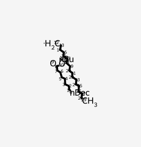 CCCCCCCCCCCCCCCCCC(=O)OCCCC.[CH2]CCCCCCCCCCCCCCCCC